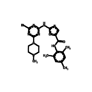 CCc1nc(Nc2ncc(C(=O)Nc3c(C)cc(C)cc3C)o2)nc(N2CCN(C)CC2)n1